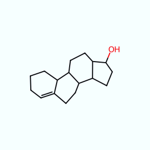 OC1CCC2C1CCC1C3CCCC=C3CCC12